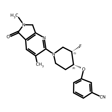 Cc1cc2c(nc1N1CC[C@@H](Oc3cccc(C#N)c3)[C@@H](F)C1)CN(C)C2=O